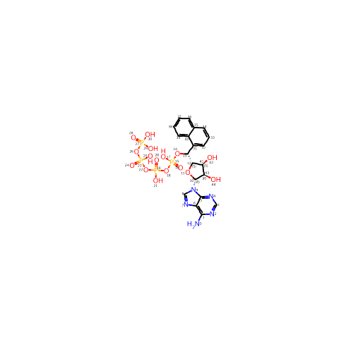 Nc1ncnc2c1ncn2[C@@H]1O[C@H](C(OP(=O)(O)OP(=O)(O)OP(=O)(O)OP(=O)(O)O)c2cccc3ccccc23)[C@@H](O)[C@H]1O